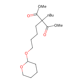 CCCCC(CCCCOC1CCCCO1)(C(=O)OC)C(=O)OC